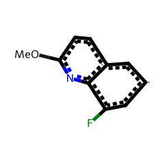 COc1ccc2c[c]cc(F)c2n1